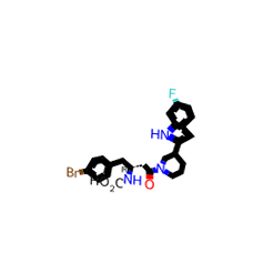 O=C(O)N[C@@H](CC(=O)N1CCCC(c2cc3ccc(F)cc3[nH]2)C1)Cc1ccc(Br)cc1